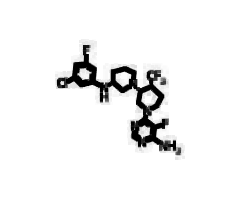 Nc1ncnc(N2CC[C@H](C(F)(F)F)[C@@H](N3CCC[C@H](Nc4cc(F)cc(Cl)c4)C3)C2)c1F